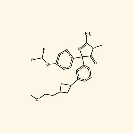 COCCC1CC(c2cccc(C3(c4ccc(OC(F)F)cc4)N=C(N)N(C)C3=O)c2)C1